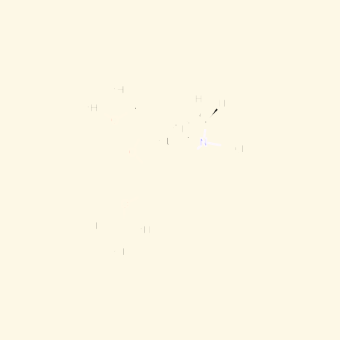 [2H]OC1([2H])C=C[C@H]2[C@@H]3N(C)CC[C@@]24c2c(ccc(OC([2H])([2H])[2H])c2OC14)C3([2H])[2H]